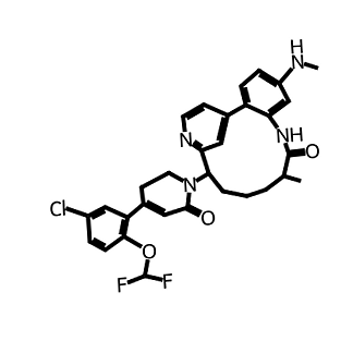 CNc1ccc2c(c1)NC(=O)C(C)CCCC(N1CCC(c3cc(Cl)ccc3OC(F)F)=CC1=O)c1cc-2ccn1